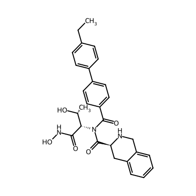 CCc1ccc(-c2ccc(C(=O)N(C(=O)[C@@H]3Cc4ccccc4CN3)[C@H](C(=O)NO)[C@@H](C)O)cc2)cc1